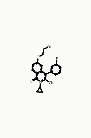 N#Cc1c(-c2cccc(F)c2)c2cc(OCCO)ccc2c(=O)n1C1CC1